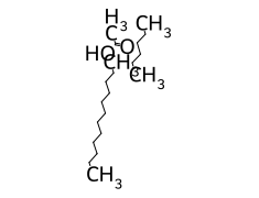 CC(=O)O.CCCCCC.CCCCCCCCCCCC